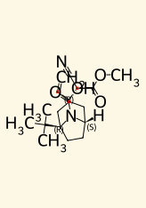 C=C[C@@]1(C(C#N)C(=O)OC)C[C@@H]2CC[C@](C(C)(C)C)(C1)N2C(=O)O